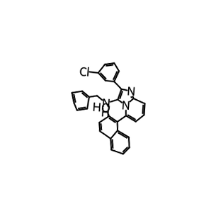 Oc1ccc2ccccc2c1-c1cccc2nc(-c3cccc(Cl)c3)c(NCc3ccccc3)n12